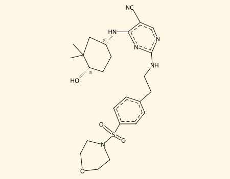 CC1(C)C[C@H](Nc2nc(NCCc3ccc(S(=O)(=O)N4CCOCC4)cc3)ncc2C#N)CC[C@@H]1O